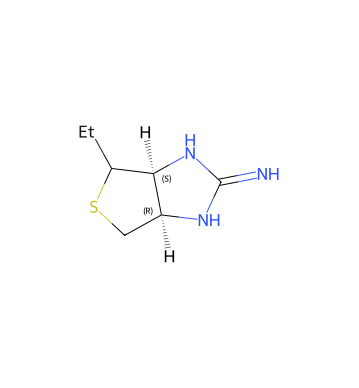 CCC1SC[C@@H]2NC(=N)N[C@H]12